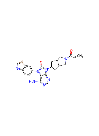 C=CC(=O)N1CC2CC(n3c(=O)n(-c4ccc5ncsc5c4)c4c(N)ncnc43)CC2C1